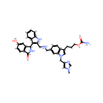 Cn1cnc(Cn2cc(CCCOC(N)=O)c3ccc(CNCc4[nH]c5ccccc5c4C4NC(=O)c5ccc(O)cc54)cc32)c1